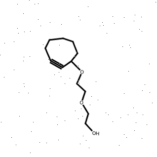 OCCOCCOC1C#CCCCCC1